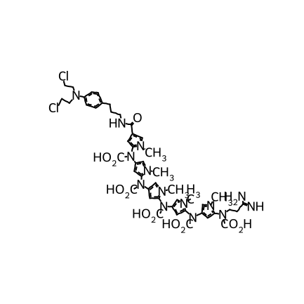 Cn1cc(N(C(=O)O)c2cc(N(C(=O)O)c3cc(N(C(=O)O)c4cc(N(C(=O)O)c5cc(C(=O)NCCCc6ccc(N(CCCl)CCCl)cc6)cn5C)cn4C)cn3C)cn2C)cc1N(CCC(=N)N)C(=O)O